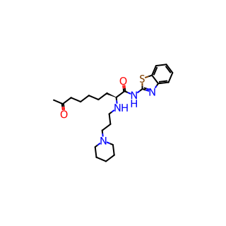 CC(=O)CCCCC[C@H](NCCCN1CCCCC1)C(=O)Nc1nc2ccccc2s1